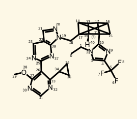 CCn1cc(C(F)(F)F)nc1C12C3C4C5C1C3C5(Cn1ncc3cnc(-c5c(OC)ncnc5C5CC5)nc31)[C@H]42